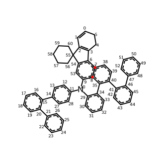 C1=CC2=C(CC1)c1ccc(N(c3ccc(-c4ccccc4-c4ccccc4)cc3)c3ccccc3-c3ccccc3-c3ccccc3-c3ccccc3)cc1C21CCCCC1